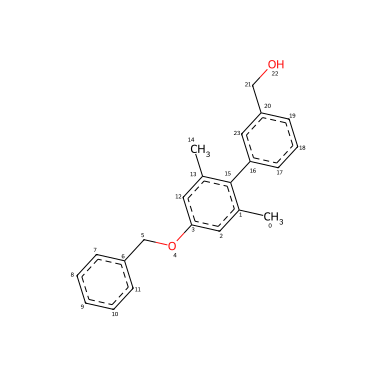 Cc1cc(OCc2ccccc2)cc(C)c1-c1cccc(CO)c1